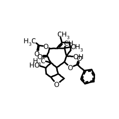 CC(=O)OC1C(=O)C2(C)C(O)CC3OCC3C2C(OC(=O)c2ccccc2)C2(O)CCC(C)=C1C2(C)C